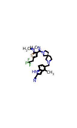 C=Nc1sc(CC(F)(F)F)cc1/C(=N\C)N1CC[C@]2(CCN(Cc3ccc4[nH]c(C#N)cc4c3C)C2)C1